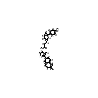 Cc1ccc2cc(-c3nnc(SCCCN4CC5CC5(c5ccc(Cl)cc5)C4)n3C)ccc2n1